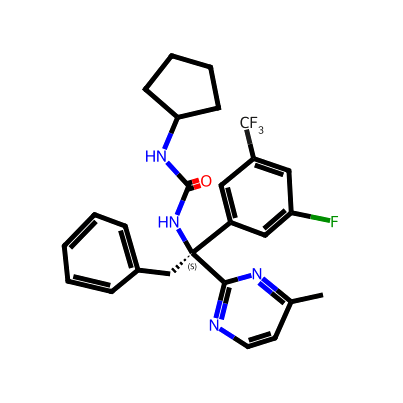 Cc1ccnc([C@@](Cc2ccccc2)(NC(=O)NC2CCCC2)c2cc(F)cc(C(F)(F)F)c2)n1